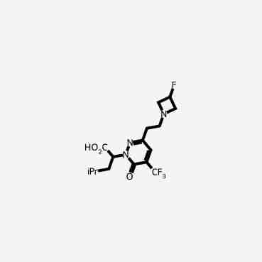 CC(C)CC(C(=O)O)n1nc(CCN2CC(F)C2)cc(C(F)(F)F)c1=O